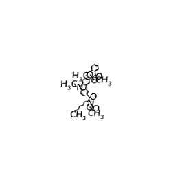 CCCCCC/C(=N\OC(C)=O)C(=O)c1ccc2c(c1)c1cc(C(OC)(OC)C(=O)c3ccccc3)ccc1n2CC